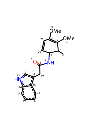 COC1=C(OC)C(C)C(NC(=O)Cc2c[nH]c3ccccc23)C=C1